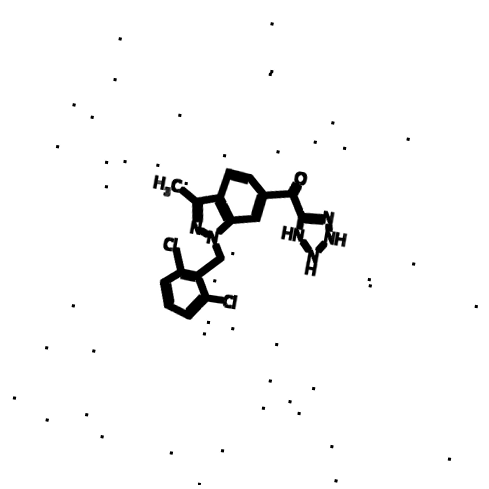 Cc1nn(Cc2c(Cl)cccc2Cl)c2cc(C(=O)C3=NNNN3)ccc12